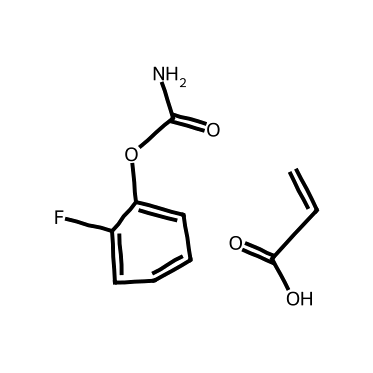 C=CC(=O)O.NC(=O)Oc1ccccc1F